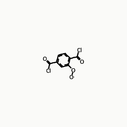 [O]Oc1cc(C(=O)Cl)ccc1C(=O)Cl